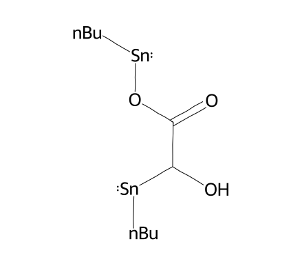 CCC[CH2][Sn][O]C(=O)[CH](O)[Sn][CH2]CCC